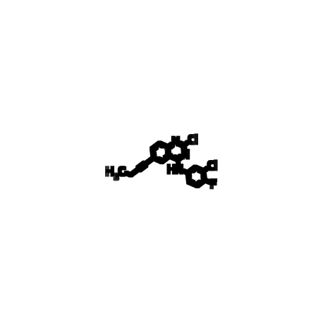 CCC#Cc1ccc2nc(Cl)nc(Nc3ccc(F)c(Cl)c3)c2c1